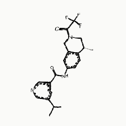 CC(C)c1cncc(C(=O)Nc2ccc3c(c2)CN(C(=O)C(F)(F)F)C[C@@H]3C)c1